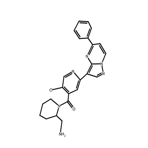 NCC1CCCCN1C(=O)c1cc(-c2cnn3ccc(-c4ccccc4)nc23)ncc1Cl